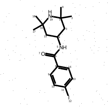 CC1(C)CC(NC(=O)c2ccc(I)cc2)CC(C)(C)N1